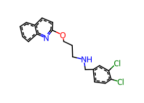 Clc1ccc(CNCCCOc2ccc3ccccc3n2)cc1Cl